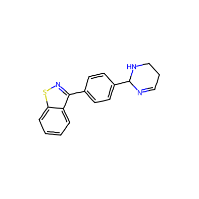 C1=NC(c2ccc(-c3nsc4ccccc34)cc2)NCC1